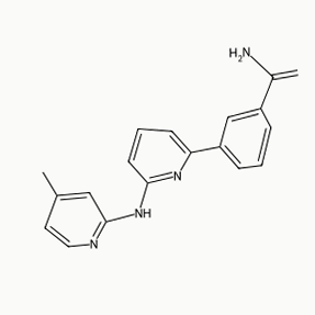 C=C(N)c1cccc(-c2cccc(Nc3cc(C)ccn3)n2)c1